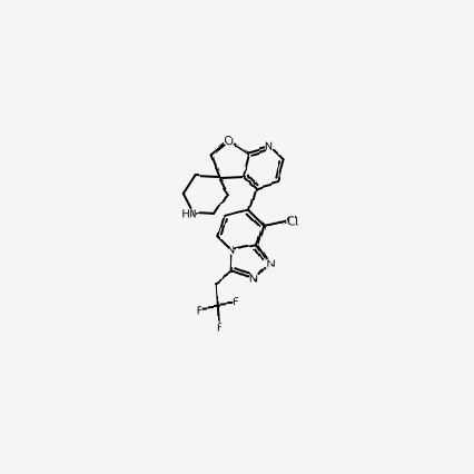 FC(F)(F)Cc1nnc2c(Cl)c(-c3ccnc4c3C3(CCNCC3)CO4)ccn12